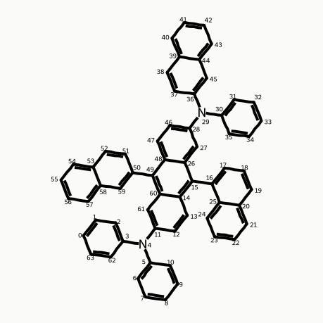 c1ccc(N(c2ccccc2)c2ccc3c(-c4cccc5ccccc45)c4cc(N(c5ccccc5)c5ccc6ccccc6c5)ccc4c(-c4ccc5ccccc5c4)c3c2)cc1